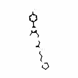 CSc1ccc(-c2nc(CSCC(=O)NCCCN3CCCC3)c(C)o2)cc1